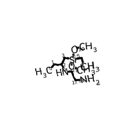 CCC(C[Si](CC)(OC)OC)NCCN